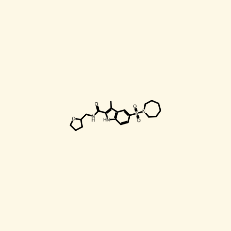 Cc1c(C(=O)NCC2CCCO2)[nH]c2ccc(S(=O)(=O)N3CCCCCC3)cc12